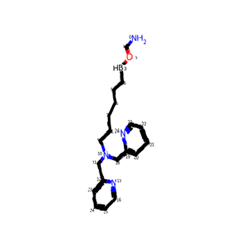 NCOBCCCCCCN(Cc1ccccn1)Cc1ccccn1